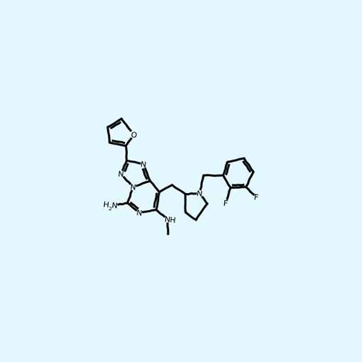 CNc1nc(N)n2nc(-c3ccco3)nc2c1CC1CCCN1Cc1cccc(F)c1F